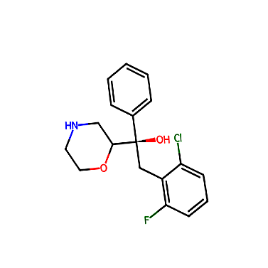 O[C@](Cc1c(F)cccc1Cl)(c1ccccc1)C1CNCCO1